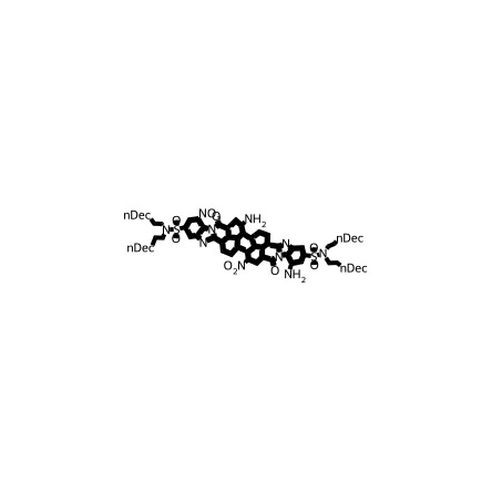 CCCCCCCCCCCCN(CCCCCCCCCCCC)S(=O)(=O)c1cc(N)c2c(c1)nc1c3ccc4c5c(N)cc6c(=O)n7c(nc8cc(S(=O)(=O)N(CCCCCCCCCCCC)CCCCCCCCCCCC)cc([N+](=O)[O-])c87)c7ccc(c8c([N+](=O)[O-])cc(c(=O)n12)c3c48)c5c67